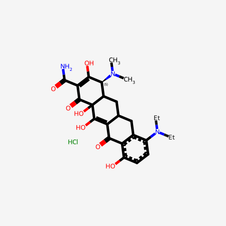 CCN(CC)c1ccc(O)c2c1CC1CC3[C@H](N(C)C)C(O)=C(C(N)=O)C(=O)C3(O)C(O)=C1C2=O.Cl